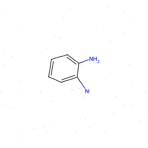 [N]c1ccccc1N